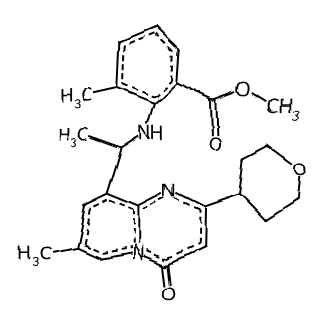 COC(=O)c1cccc(C)c1NC(C)c1cc(C)cn2c(=O)cc(C3CCOCC3)nc12